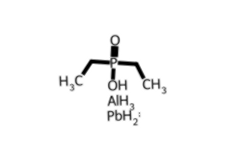 CCP(=O)(O)CC.[AlH3].[PbH2]